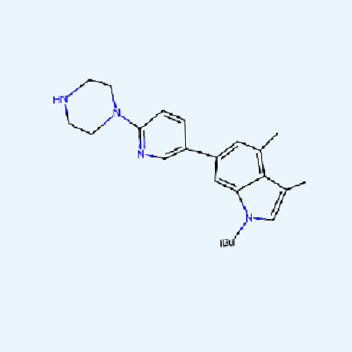 CCC(C)n1cc(C)c2c(C)cc(-c3ccc(N4CCNCC4)nc3)cc21